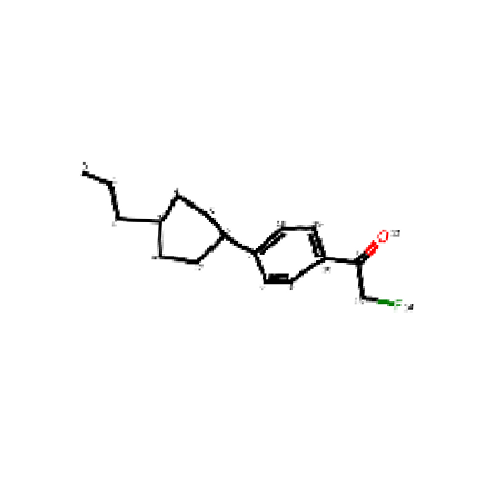 CCCC1CCC(c2ccc(C(=O)CF)cc2)CC1